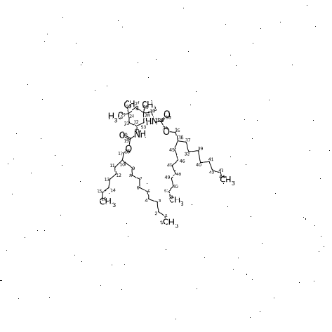 CCCCCCCCCCC(CCCCCC)COC(=O)NC1CC(C)(C)CC(C)(CNC(=O)OCC(CCCCCCCC)CCCCCCCC)C1